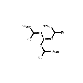 CCCCCC(CC)OB(OC(CC)CCCCC)OC(CC)CCCCC